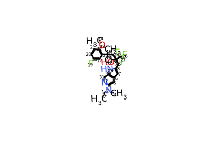 CCN(C)c1cc2cc(CC(O)(CC(C)(C)c3cc(F)ccc3OC)C(F)(F)F)[nH]c2cn1